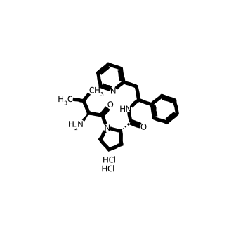 CC(C)[C@H](N)C(=O)N1CCC[C@H]1C(=O)NC(Cc1ccccn1)c1ccccc1.Cl.Cl